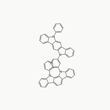 c1ccc(-n2c3ccccc3c3cc4c(cc32)c2ccccc2n4-c2cccc(-n3c4ccccc4c4ccc5c6ccccc6n(-c6ccccc6)c5c43)c2)cc1